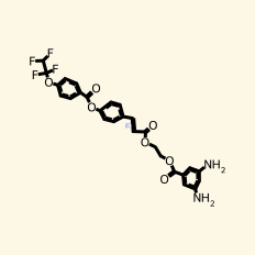 Nc1cc(N)cc(C(=O)OCCOC(=O)/C=C/c2ccc(OC(=O)c3ccc(OC(F)(F)C(F)F)cc3)cc2)c1